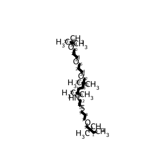 CCC(C)(C)COCCCSCCNC(C)(C)CCC(C)(C)COCCCOCCCOC(C)(C)C